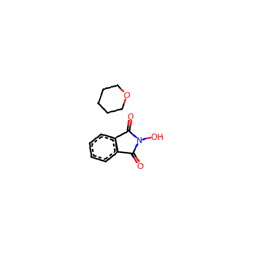 C1CCOCC1.O=C1c2ccccc2C(=O)N1O